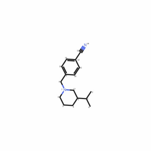 CC(C)C1CCCN(Cc2ccc(C#N)cc2)C1